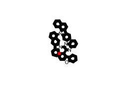 c1cc(-n2c3ccccc3c3ccc4ccccc4c32)c2cc3c(cc2c1)c1ccccc1n3-c1nc2ccccc2nc1-c1cccc2oc3ccccc3c12